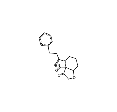 NC(=O)C12C(=O)COC1CCCN2C(=O)[CH]Cc1ccccc1